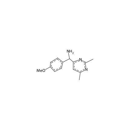 COc1ccc(C(N)c2cc(C)nc(C)n2)cc1